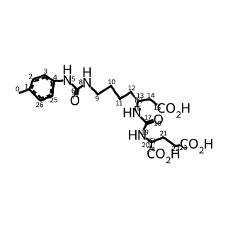 Cc1ccc(NC(=O)NCCCC[C@@H](CC(=O)O)NC(=O)N[C@@H](CCC(=O)O)C(=O)O)cc1